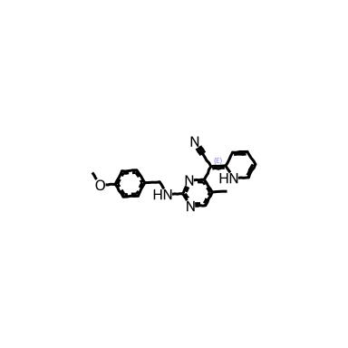 COc1ccc(CNc2ncc(C)c(/C(C#N)=C3/C=CC=CN3)n2)cc1